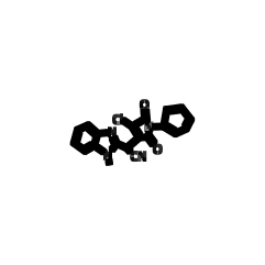 Cn1c(C(C#N)C2=C(Cl)C(=O)N(c3ccccc3)C2=O)nc2ccccc21